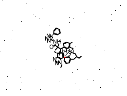 CCC1Cc2ccccc2S(O)(O)N(Cc2cc(C(c3ccc4c(nnn4CC)c3C)C(C)(C)C(=O)Nc3nnnn3-c3ccccc3)ccc2C)C1